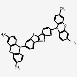 Cc1ccc2c(c1)Oc1cc(C)ccc1N2c1ccc2c(c1)oc1c3ccc(N4c5ccc(C)cc5Oc5cc(C)ccc54)cc3sc21